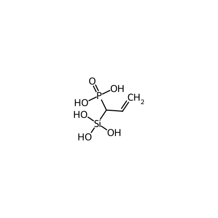 C=CC([Si](O)(O)O)P(=O)(O)O